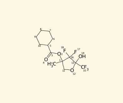 CC1(OC(=O)C2CCCCC2)COC(O)(C(F)(F)F)C1(F)F